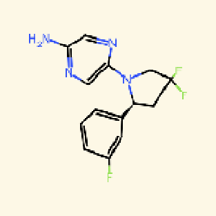 Nc1cnc(N2CC(F)(F)C[C@H]2c2cccc(F)c2)cn1